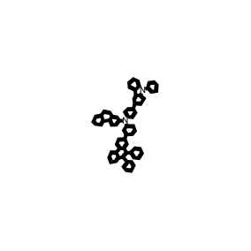 c1ccc(-c2c(-c3ccccc3)c3cc(-c4cccc(N(c5ccc(-c6ccc7c(c6)c6ccccc6n7-c6ccccc6)cc5)c5ccc6c(ccc7ccccc76)c5)c4)ccc3c3ccccc23)cc1